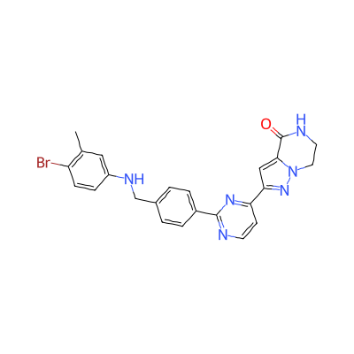 Cc1cc(NCc2ccc(-c3nccc(-c4cc5n(n4)CCNC5=O)n3)cc2)ccc1Br